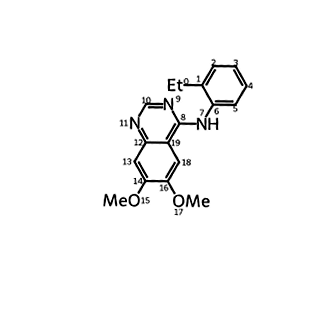 CCc1ccccc1Nc1ncnc2cc(OC)c(OC)cc12